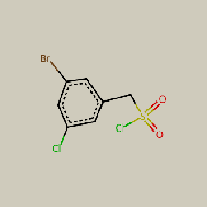 O=S(=O)(Cl)Cc1cc(Cl)cc(Br)c1